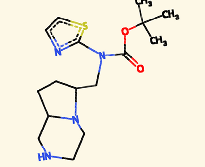 CC(C)(C)OC(=O)N(CC1CCC2CNCCN21)c1nccs1